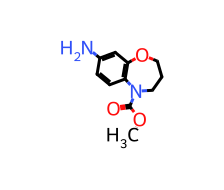 COC(=O)N1CCCOc2cc(N)ccc21